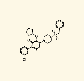 O=c1c(OC2CCCC2)c(N2CCN(S(=O)(=O)Cc3ccccn3)CC2)cnn1-c1cccc(Cl)c1